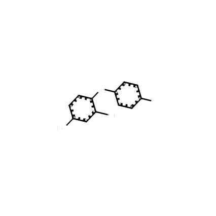 Cc1ccc(Oc2ccc(O)cc2)c(C(C)C)c1